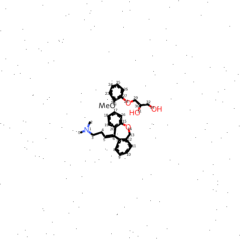 CN(C)CCC=C1c2ccccc2COc2ccccc21.COc1ccccc1OCC(O)CO